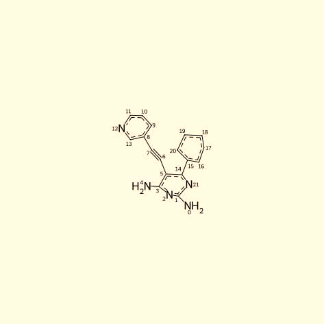 Nc1nc(N)c(C#Cc2cccnc2)c(-c2ccccc2)n1